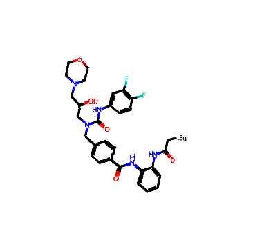 CC(C)(C)CC(=O)Nc1ccccc1NC(=O)c1ccc(CN(CC(O)CN2CCOCC2)C(=O)Nc2ccc(F)c(F)c2)cc1